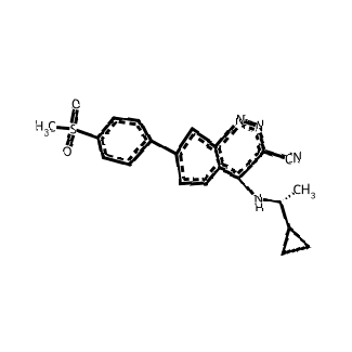 C[C@@H](Nc1c(C#N)nnc2cc(-c3ccc(S(C)(=O)=O)cc3)ccc12)C1CC1